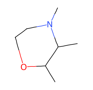 CC1OCCN(C)C1C